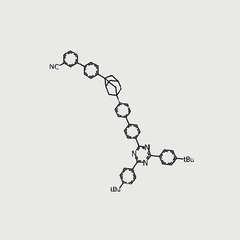 CC(C)(C)c1ccc(-c2nc(-c3ccc(-c4ccc(C56CC7CC(C5)C(c5ccc(-c8cccc(C#N)c8)cc5)(C7)C6)cc4)cc3)nc(-c3ccc(C(C)(C)C)cc3)n2)cc1